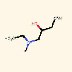 COCC(O)CN(C)CC(=O)O